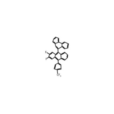 Fc1cc2c(-c3ccc(C(F)(F)F)cc3)c3ccccc3c(-c3cc4ccccc4c4ccccc34)c2cc1F